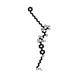 CCCCCCCCOc1ccc(-c2ccc(C(=O)N[C@@H](CCC(=O)C([C]=O)C[C@H](NC(=O)CCCCCCCCCCCc3ccccc3)C(=O)O)C(=O)O)cc2)cc1